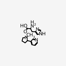 CN1CCCC1c1cccnc1.NC(Cc1c[nH]cn1)C(=O)O